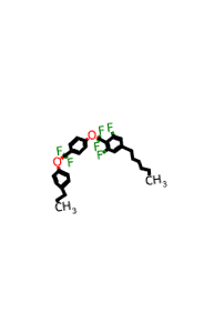 CCCCCCc1cc(F)c(C(F)(F)Oc2ccc(C(F)(F)Oc3ccc(CCC)cc3)cc2)c(F)c1